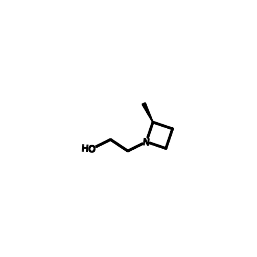 C[C@H]1CCN1CCO